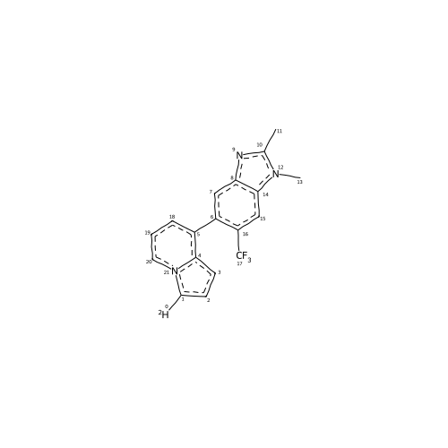 [2H]c1ccc2c(-c3cc4nc(C)n(C)c4cc3C(F)(F)F)cccn12